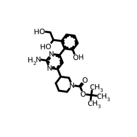 CC(C)(C)OC(=O)N1CCCC(c2cc(-c3c(O)cccc3C(O)CO)nc(N)n2)C1